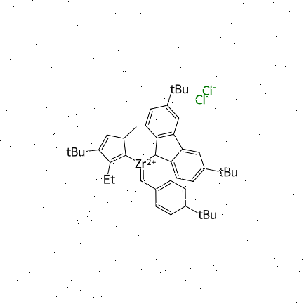 CCC1=[C](/[Zr+2](=[CH]/c2ccc(C(C)(C)C)cc2)[CH]2c3ccc(C(C)(C)C)cc3-c3cc(C(C)(C)C)ccc32)C(C)C=C1C(C)(C)C.[Cl-].[Cl-]